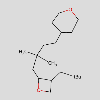 CC(C)(C)CC1COC1CC(C)(C)CCC1CCOCC1